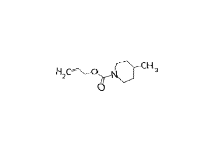 C=CCOC(=O)N1CCC(C)CC1